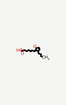 CCCCC1C=CC(=O)/C1=C\C=C\CCCC(=O)O